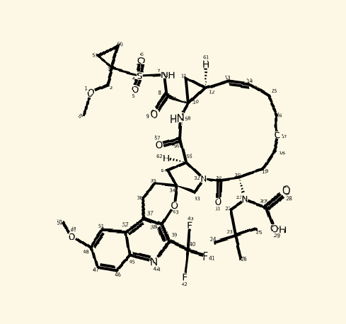 COCC1(S(=O)(=O)NC(=O)[C@@]23C[C@H]2/C=C\CCCCC[C@H](N(CC(C)(C)C)C(=O)O)C(=O)N2C[C@@]4(CCc5c(c(C(F)(F)F)nc6ccc(OC)cc56)O4)C[C@H]2C(=O)N3)CC1